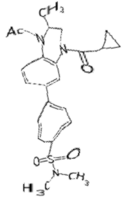 CC(=O)N1c2ccc(-c3ccc(S(=O)(=O)N(C)C)cc3)cc2N(C(=O)C2CC2)CC1C